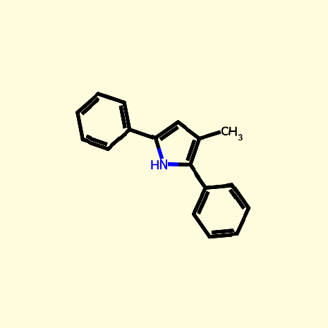 Cc1cc(-c2ccccc2)[nH]c1-c1ccccc1